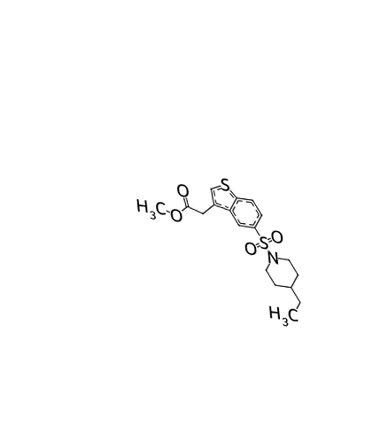 CCC1CCN(S(=O)(=O)c2ccc3scc(CC(=O)OC)c3c2)CC1